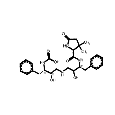 CC1(C)CC(=O)NC1C(=O)N[C@@H](Cc1ccccc1)C(O)CNC[C@@H](O)[C@H](Cc1ccccc1)NC(=O)O